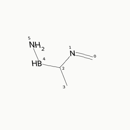 C=NC(C)BN